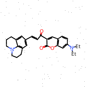 CCN(CC)c1ccc2cc(C(=O)C=Cc3cc4c5c(c3)CCCN5CCC4)c(=O)oc2c1